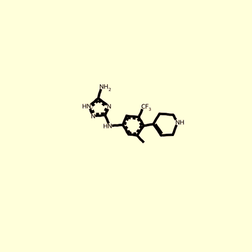 Cc1cc(Nc2n[nH]c(N)n2)cc(C(F)(F)F)c1C1=CCNCC1